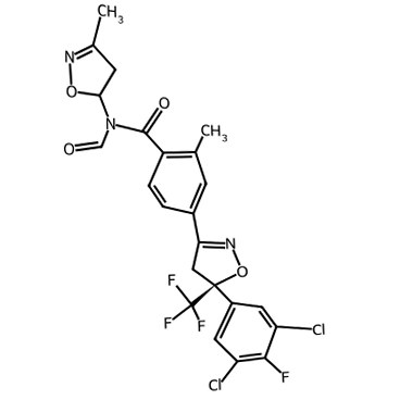 CC1=NOC(N(C=O)C(=O)c2ccc(C3=NO[C@@](c4cc(Cl)c(F)c(Cl)c4)(C(F)(F)F)C3)cc2C)C1